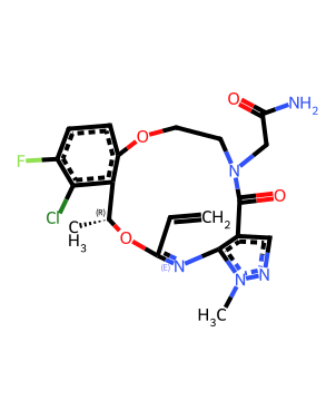 C=C/C1=N\c2c(cnn2C)C(=O)N(CC(N)=O)CCOc2ccc(F)c(Cl)c2[C@@H](C)O1